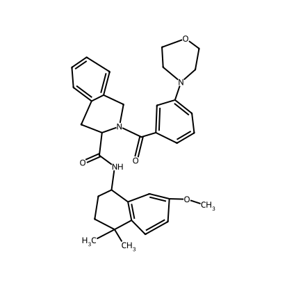 COc1ccc2c(c1)C(NC(=O)C1Cc3ccccc3CN1C(=O)c1cccc(N3CCOCC3)c1)CCC2(C)C